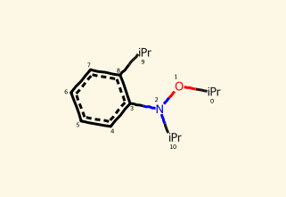 CC(C)ON(c1ccccc1C(C)C)C(C)C